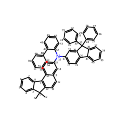 CC1(C)c2ccccc2-c2c1ccc1cc(N(c3ccc4c(c3)C(c3ccccc3)(c3ccccc3)c3ccccc3-4)c3ccccc3-c3ccccc3)ccc21